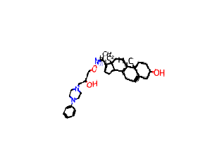 C/C(=N/OCC(O)CN1CCN(c2ccccc2)CC1)C1=CCC2C3CC=C4CC(O)CCC4(C)C3CCC12C